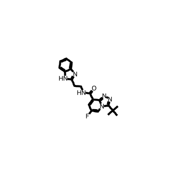 CC(C)(C)c1nnc2c(C(=O)NCCc3nc4ccccc4[nH]3)cc(F)cn12